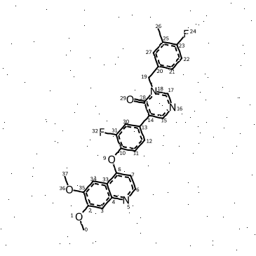 COc1cc2nccc(Oc3ccc(-c4cncn(Cc5ccc(F)c(C)c5)c4=O)cc3F)c2cc1OC